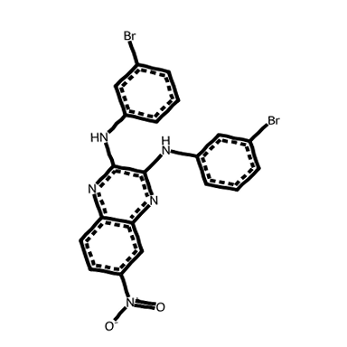 O=[N+]([O-])c1ccc2nc(Nc3cccc(Br)c3)c(Nc3cccc(Br)c3)nc2c1